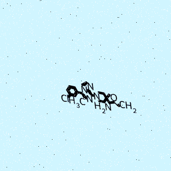 C=C[C@@H]1OCC2(CCN(c3nc(C)c(-c4cccc(Cl)c4)n4ccnc34)CC2)[C@@H]1N